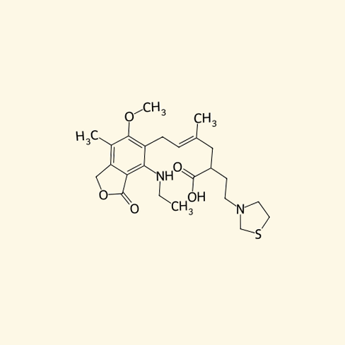 CCNc1c(C/C=C(\C)CC(CCN2CCSC2)C(=O)O)c(OC)c(C)c2c1C(=O)OC2